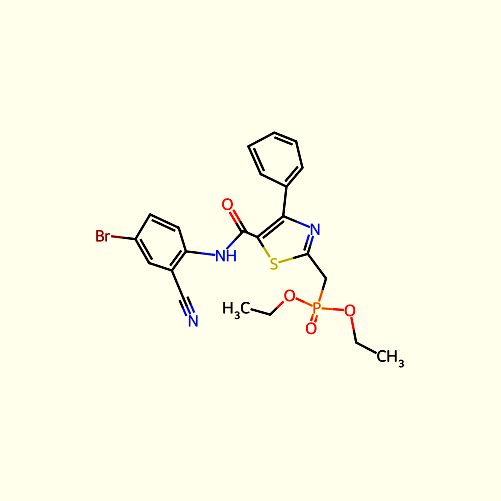 CCOP(=O)(Cc1nc(-c2ccccc2)c(C(=O)Nc2ccc(Br)cc2C#N)s1)OCC